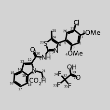 COc1cc(OC)c(-c2nc(NC(=O)c3cc4ccccc4n3CC(=O)O)sc2C)cc1Cl.O=C(O)C(F)(F)F